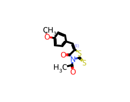 COc1ccc(/C=C2/SC(=S)N(C(C)=O)C2=O)cc1